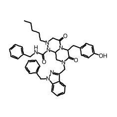 CCCCCN1CC(=O)N2C(Cc3ccc(O)cc3)C(=O)N(Cc3nn(Cc4ccccc4)c4ccccc34)CC2N1C(=O)NCc1ccccc1